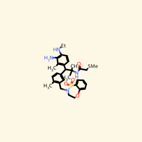 CCNc1ccc(C(c2ccc(C)c(CN3CCOc4ccccc4S3(=O)=O)c2)C(C)(C)NC(=O)CSC)c(C)c1N